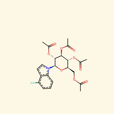 CC(=O)OC[C@H]1O[C@@H](n2ccc3c(F)cccc32)[C@H](OC(C)=O)[C@@H](OC(C)=O)[C@@H]1OC(C)=O